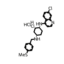 CSc1ccc(CN[C@H]2CC[C@@H](Nc3ccnc4cc(Cl)ccc34)CC2)cc1.Cl.Cl